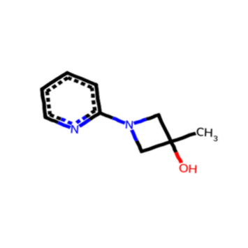 CC1(O)CN(c2ccccn2)C1